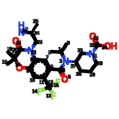 CC(C)N(C(=O)c1cc2c(cc1C(F)(F)F)OC(C)(C)C(=O)N2C[C@H](C)N)[C@@H]1CCCN(C(=O)O)C1